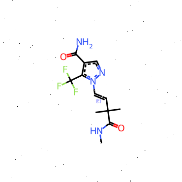 CNC(=O)C(C)(C)/C=C/n1ncc(C(N)=O)c1C(F)(F)F